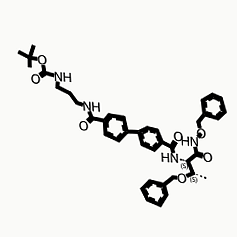 C[C@H](OCc1ccccc1)[C@H](NC(=O)c1ccc(-c2ccc(C(=O)NCCCNC(=O)OC(C)(C)C)cc2)cc1)C(=O)NOCc1ccccc1